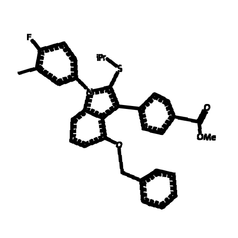 COC(=O)c1ccc(-c2c(SC(C)C)n(-c3ccc(F)c(C)c3)c3cccc(OCc4ccccc4)c23)cc1